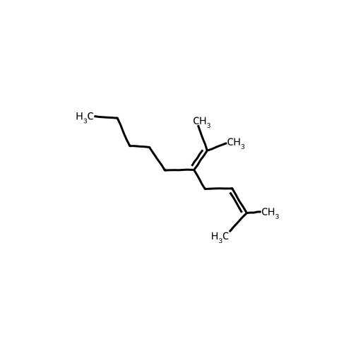 CCCCCC(CC=C(C)C)=C(C)C